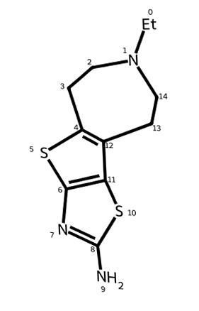 CCN1CCc2sc3nc(N)sc3c2CC1